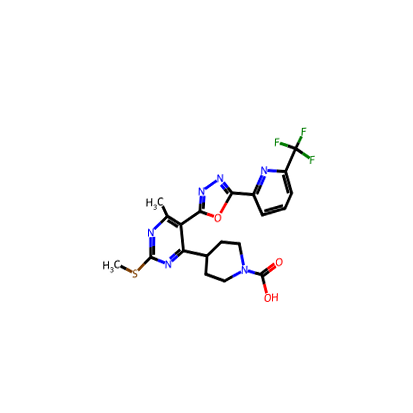 CSc1nc(C)c(-c2nnc(-c3cccc(C(F)(F)F)n3)o2)c(C2CCN(C(=O)O)CC2)n1